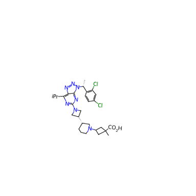 CC(C)c1nc(N2CC([C@H]3CCCN(C4CC(C)(C(=O)O)C4)C3)C2)nc2c1nnn2[C@H](C)c1ccc(Cl)cc1Cl